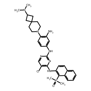 CN(C)C1CC2(CCN(c3ccc(Nc4ncc(Cl)c(Nc5ccc6ccccc6c5P(C)(C)=O)n4)cc3N)CC2)C1